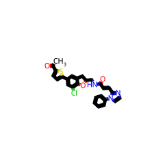 CC(=O)c1ccc(-c2cc(Cl)c3c(c2)CC(CNC(=O)C=Cc2nccn2-c2ccccc2)O3)s1